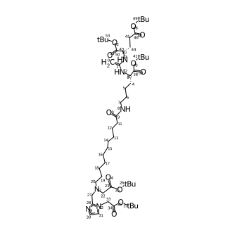 C=C(N[C@@H](CCCCNC(=O)CCCCCCCCCCN(CC(=O)OC(C)(C)C)Cc1nccn1CC(=O)OC(C)(C)C)C(=O)OC(C)(C)C)N[C@@H](CCC(=O)OC(C)(C)C)C(=O)OC(C)(C)C